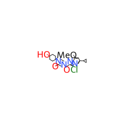 COc1cc(C2CC2)cn2c(Cl)c(C(=O)N3CCN([C@H]4CC[C@H](O)CC4)C(=O)C3)nc12